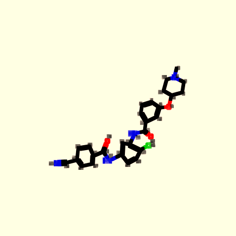 CN1CCC(Oc2cccc(C(=O)Nc3cc(NC(=O)c4ccc(C#N)cc4)ccc3Cl)c2)CC1